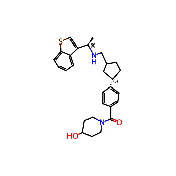 C[C@@H](NCC1CC[C@H](c2ccc(C(=O)N3CCC(O)CC3)cc2)C1)c1csc2ccccc12